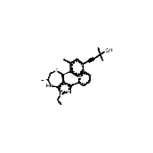 CCn1nc(-c2ccccn2)c2c1N[C@@H](C)CS[C@H]2c1ccc(C#CC(C)(C)O)cc1C